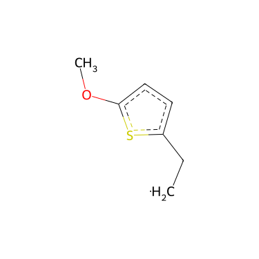 [CH2]Cc1ccc(OC)s1